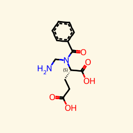 NCN(C(=O)c1ccccc1)[C@@H](CCC(=O)O)C(=O)O